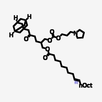 CCCCCCCC/C=C/CCCCCCCC(=O)OCC(CCC(=O)CC12C[C@H]3C[C@H](C1)C[C@@H](C2)C3)COC(=O)OCCCN1CCCC1